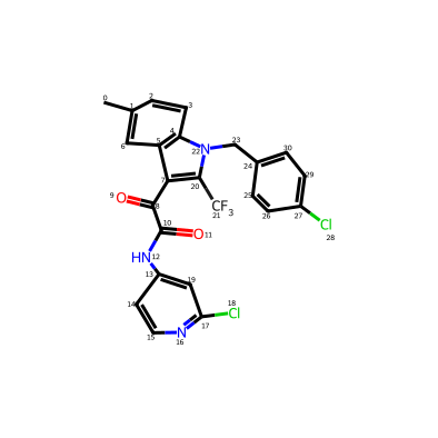 Cc1ccc2c(c1)c(C(=O)C(=O)Nc1ccnc(Cl)c1)c(C(F)(F)F)n2Cc1ccc(Cl)cc1